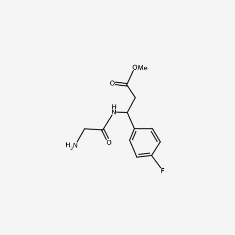 COC(=O)CC(NC(=O)CN)c1ccc(F)cc1